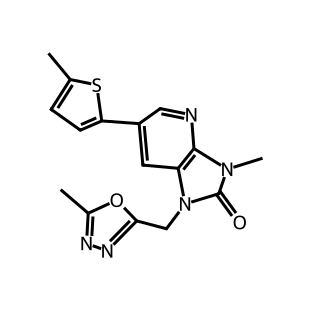 Cc1nnc(Cn2c(=O)n(C)c3ncc(-c4ccc(C)s4)cc32)o1